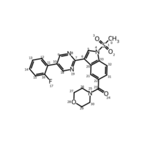 CS(=O)(=O)n1cc(-c2ncc(-c3ccccc3F)cn2)c2cc(C(=O)N3CCOCC3)ccc21